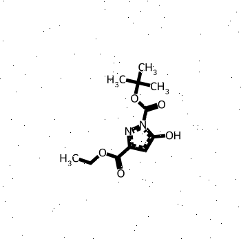 CCOC(=O)c1cc(O)n(C(=O)OC(C)(C)C)n1